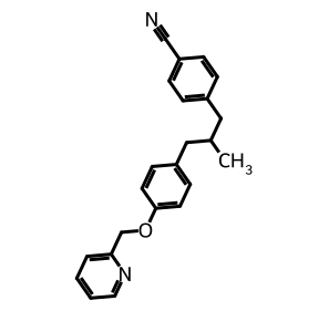 CC(Cc1ccc(C#N)cc1)Cc1ccc(OCc2ccccn2)cc1